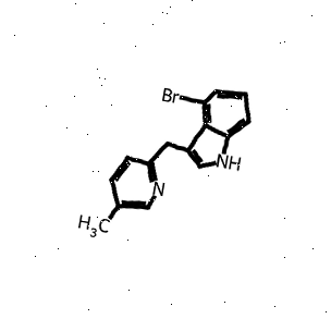 Cc1ccc(Cc2c[nH]c3cccc(Br)c23)nc1